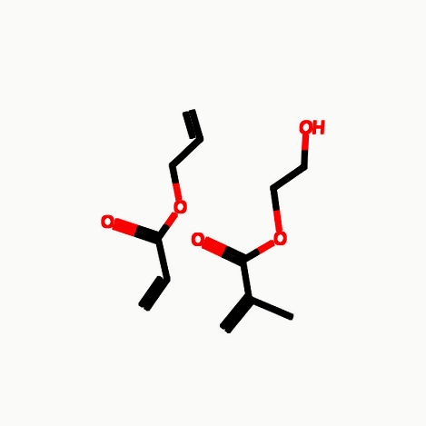 C=C(C)C(=O)OCCO.C=CCOC(=O)C=C